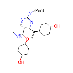 C=C(c1nc(NC(C)CCC)ncc1/C(=N\C)O[C@H]1CC[C@@H](O)CC1)[C@H]1CC[C@H](O)CC1